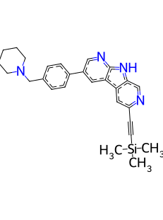 C[Si](C)(C)C#Cc1cc2c(cn1)[nH]c1ncc(-c3ccc(CN4CCCCC4)cc3)cc12